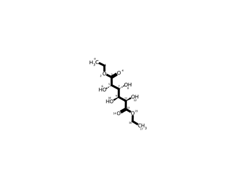 CCOC(=O)[C@@H](O)[C@H](O)[C@H](O)[C@@H](O)C(=O)OCC